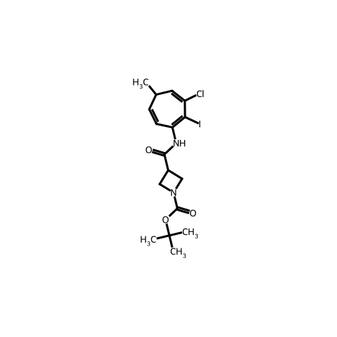 CC1C=CC(NC(=O)C2CN(C(=O)OC(C)(C)C)C2)=C(I)C(Cl)=C1